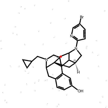 Oc1ccc2c(c1)C13CCN(CC4CC4)C(C2)C12CCC1C3[C@@H](CN1c1ccc(Br)cn1)C2